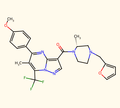 COc1ccc(-c2nc3c(C(=O)N4CCN(Cc5ccco5)C[C@H]4C)cnn3c(C(F)(F)F)c2C)cc1